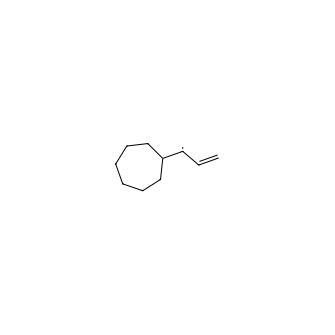 C=C[CH]C1CCCCCC1